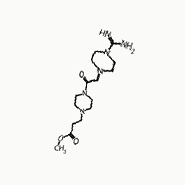 COC(=O)CCN1CCN(C(=O)CN2CCN(C(=N)N)CC2)CC1